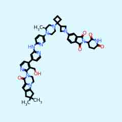 C[C@H]1CN(C2(C3CN(c4ccc5c(c4)C(=O)N(C4CCC(=O)NC4=O)C5=O)C3)CCC2)CCN1c1ccc(Nc2cc(-c3ccnc(N4CCn5c(cc6c5CC(C)(C)C6)C4=O)c3CO)ccn2)nc1